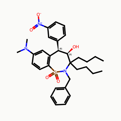 CCCCC1(CCCC)[C@H](O)[C@H](c2cccc([N+](=O)[O-])c2)c2cc(N(C)C)ccc2S(=O)(=O)N1Cc1ccccc1